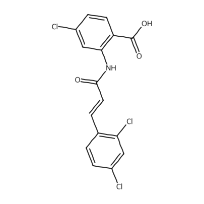 O=C(C=Cc1ccc(Cl)cc1Cl)Nc1cc(Cl)ccc1C(=O)O